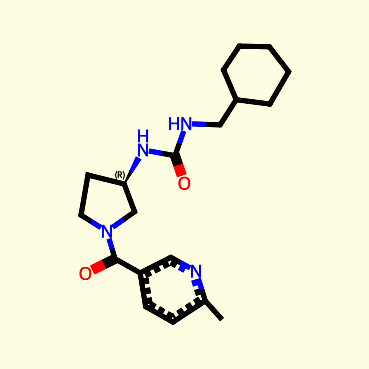 Cc1ccc(C(=O)N2CC[C@@H](NC(=O)NCC3CCCCC3)C2)cn1